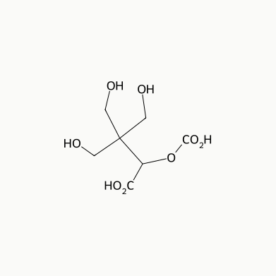 O=C(O)OC(C(=O)O)C(CO)(CO)CO